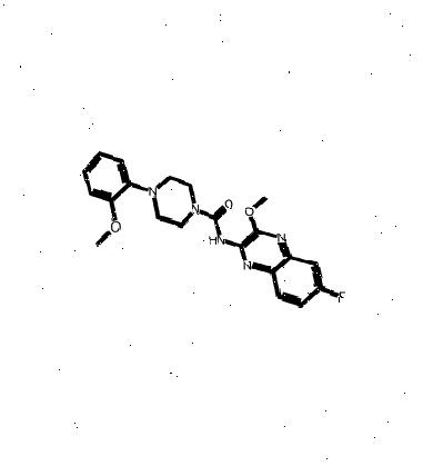 COc1ccccc1N1CCN(C(=O)Nc2nc3ccc(F)cc3nc2OC)CC1